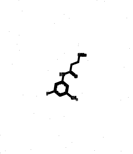 COCCC(=O)Nc1cc(C)cc(F)c1